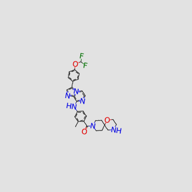 Cc1cc(Nc2nccn3c(-c4ccc(OC(F)F)cc4)cnc23)ccc1C(=O)N1CCC2(CC1)CNCCO2